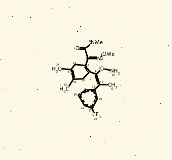 CNC(=O)C(=NOC)C1=C(C(ON)=C(C)c2cccc(C(F)(F)F)c2)CC(C)=C(C)C1